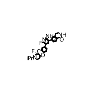 CC(C)N1CCC(Oc2ccc(-c3cc(-c4ccc5c(c4)CCNC5=O)c(N)nc3F)cc2C(F)(F)F)CC1